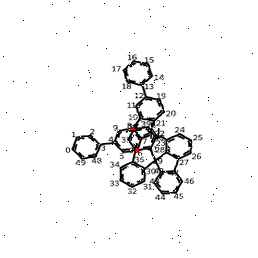 c1ccc(-c2ccc3c(c2)c2cc(-c4ccccc4)ccc2n3-c2cccc3c2C2(c4ccccc4-c4ccccc42)c2ccccc2-3)cc1